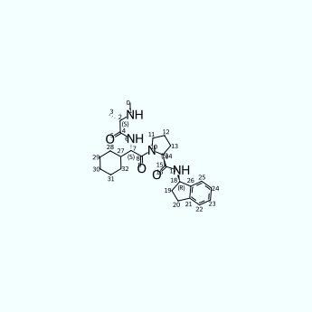 CN[C@@H](C)C(=O)N[C@H](C(=O)N1CCC[C@H]1C(=O)N[C@@H]1CCc2ccccc21)C1CCCCC1